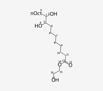 CCCCCCCCC(O)C(O)CCCCCCCC(=O)OCCO